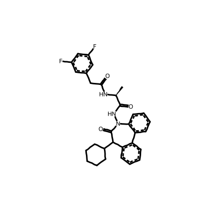 C[C@H](NC(=O)Cc1cc(F)cc(F)c1)C(=O)NN1C(=O)C(C2CCCCC2)c2ccccc2-c2ccccc21